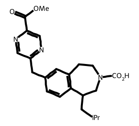 COC(=O)c1cnc(Cc2ccc3c(c2)CCN(C(=O)O)CC3CC(C)C)cn1